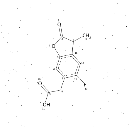 CC1C(=O)Oc2cc(CC(=O)O)c(F)cc21